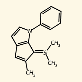 CC1=Cc2ccn(-c3ccccc3)c2C1=[Si](C)C